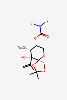 C=C(C)[C@@]1(O)[C@H](OC)[C@H](OC(=O)N(Cl)CC)CO[C@]12COC(C)(C)O2